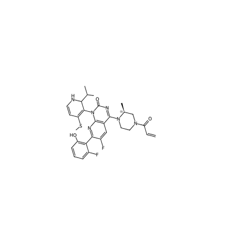 C=CC(=O)N1CCN(c2nc(=O)n(C3=C(SC)C=CNC3C(C)C)c3nc(-c4c(O)cccc4F)c(F)cc23)[C@@H](C)C1